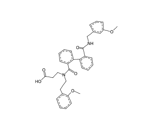 COc1cccc(CNC(=O)c2ccccc2-c2ccccc2C(=O)N(CCC(=O)O)CCc2ccccc2OC)c1